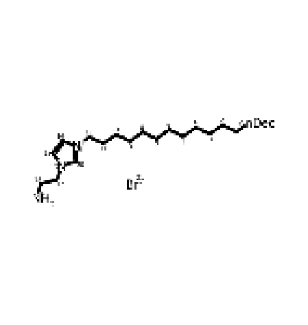 CCCCCCCCCCCCCCCCCCCCCC[n+]1ccn(CCN)c1.[Br-]